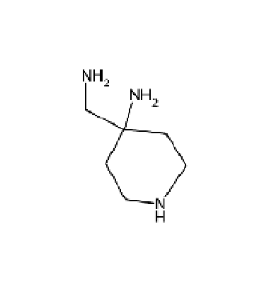 NCC1(N)CCNCC1